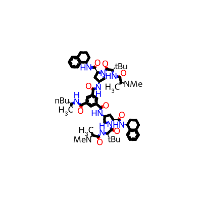 CCCC[C@@H](C)NC(=O)c1cc(C(=O)N[C@H]2C[C@@H](C(=O)N[C@@H]3CCCc4ccccc43)N(C(=O)[C@@H](NC(=O)[C@H](C)NC)C(C)(C)C)C2)cc(C(=O)N[C@H]2C[C@@H](C(=O)N[C@@H]3CCCc4ccccc43)N(C(=O)[C@@H](NC(=O)[C@H](C)NC)C(C)(C)C)C2)c1